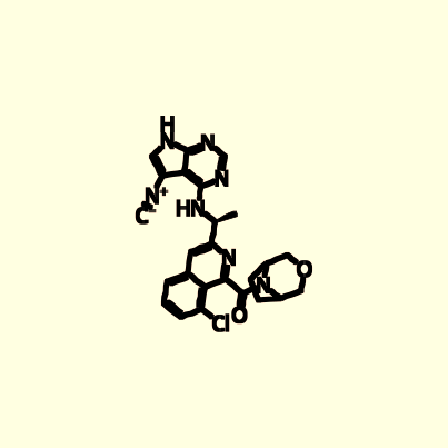 [C-]#[N+]c1c[nH]c2ncnc(N[C@@H](C)c3cc4cccc(Cl)c4c(C(=O)N4C5CCC4COC5)n3)c12